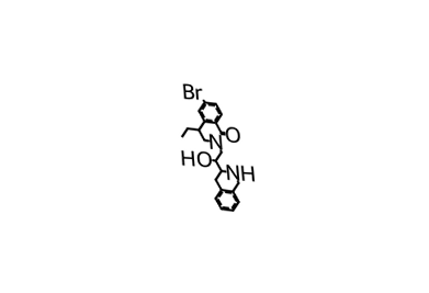 CCC1CN(CC(O)C2Cc3ccccc3CN2)C(=O)c2ccc(Br)cc21